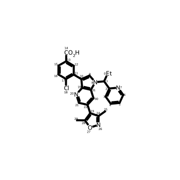 CCC(c1ccccn1)n1cc(-c2cc(C(=O)O)ccc2Cl)c2ncc(-c3c(C)noc3C)cc21